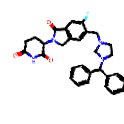 O=C1CCC(N2Cc3cc(CN4CCN(C(c5ccccc5)c5ccccc5)C4)c(F)cc3C2=O)C(=O)N1